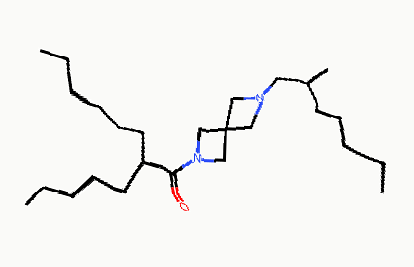 CCCCCCC(CCCCC)C(=O)N1CC2(CN(CC(C)CCCCC)C2)C1